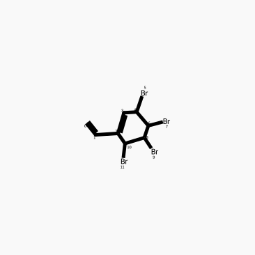 C=CC1=CC(Br)C(Br)C(Br)C1Br